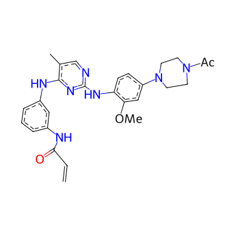 C=CC(=O)Nc1cccc(Nc2nc(Nc3ccc(N4CCN(C(C)=O)CC4)cc3OC)ncc2C)c1